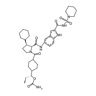 NC(=O)O[C@H](CF)C1CCC(C(=O)N2CC[C@@H](C3CCCCC3)[C@H]2C(=O)Nc2ccc3[nH]c(C(=O)NS(=O)(=O)N4CCCCC4)cc3c2)CC1